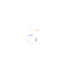 CCS(=O)(=O)c1ccnnn1